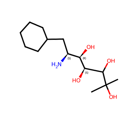 CC(C)(O)C(O)[C@@H](O)[C@H](O)[C@@H](N)CC1CCCCC1